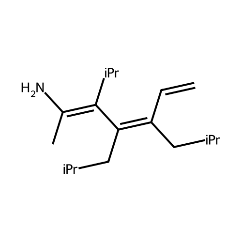 C=C/C(CC(C)C)=C(CC(C)C)\C(=C(/C)N)C(C)C